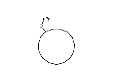 CCCOC1CCCCCCCCCCCCCC1